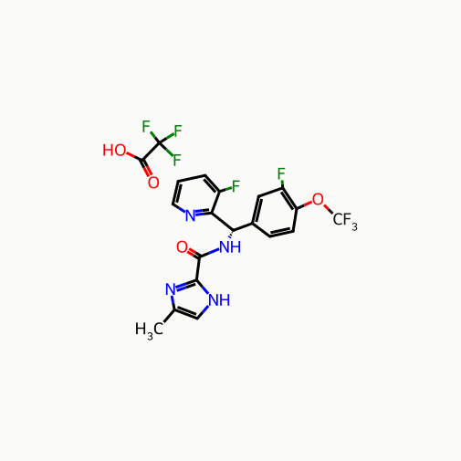 Cc1c[nH]c(C(=O)N[C@@H](c2ccc(OC(F)(F)F)c(F)c2)c2ncccc2F)n1.O=C(O)C(F)(F)F